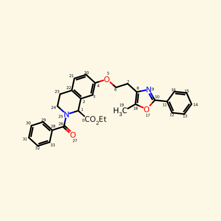 CCOC(=O)C1c2cc(OCCc3nc(-c4ccccc4)oc3C)ccc2CCN1C(=O)c1ccccc1